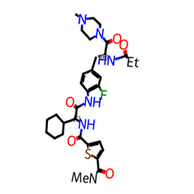 CCC(=O)N[C@H](Cc1ccc(NC(=O)[C@@H](NC(=O)c2ccc(C(=O)NC)s2)C2CCCCC2)c(F)c1)C(=O)N1CCN(C)CC1